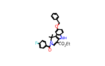 CCOC(=O)C1=CN(C(=O)c2ccc(F)cc2)CC(C)(C)c2c1[nH]c1ccc(OCc3ccccc3)cc21